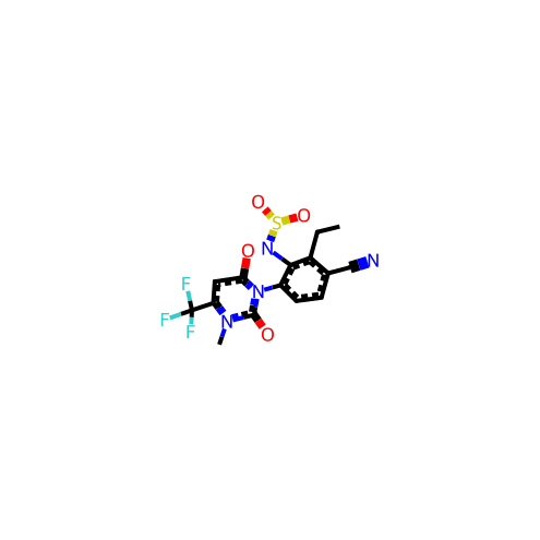 CCc1c(C#N)ccc(-n2c(=O)cc(C(F)(F)F)n(C)c2=O)c1N=S(=O)=O